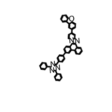 c1ccc(-c2nc(-c3ccccc3)nc(-c3ccc(-c4ccc5c(c4)c4ccccc4c4nc6cc(-c7ccc8oc9ccccc9c8c7)ccn6c54)cc3)n2)cc1